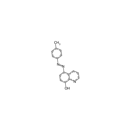 Cc1ccc(N=Nc2ccc(O)c3ncccc23)cc1